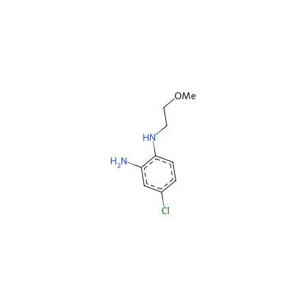 COCCNc1ccc(Cl)cc1N